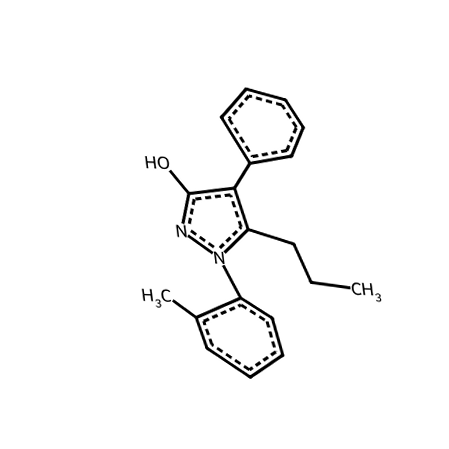 CCCc1c(-c2ccccc2)c(O)nn1-c1ccccc1C